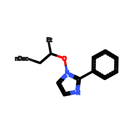 CCCCCCCCCCCC(CC)On1ccnc1-c1ccccc1